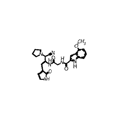 COc1cccc2[nH]c(C(=O)NCC(=O)NC(CC3CCNC3=O)C(C#N)N3CCCC3)cc12